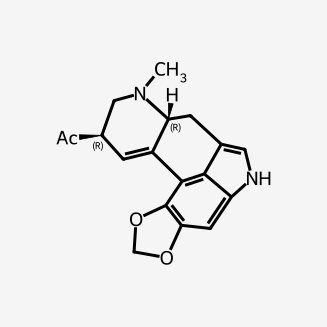 CC(=O)[C@@H]1C=C2c3c4c(cc5[nH]cc(c35)C[C@H]2N(C)C1)OCO4